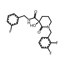 O=C(NCc1cccc(F)c1)[C@]1(O)CCCN(Cc2cccc(F)c2F)C1=O